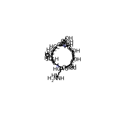 CCCCC1C(=O)OC(C(C)C(O)CCCNC(=N)N)C(C)/C=C(\C)CCCCC(O)CC(O)CC(O)CC(O)CC(O)C(O[C@H]2O[C@H](CO)[C@@H](O)[C@@H]2O)/C=C(\C)C(O)CCCC(O)CCCC(O)CCC(C)C1O.Cc1ccc(S(=O)(=O)O)cc1